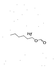 CCCCCCOC=O.[Hf]